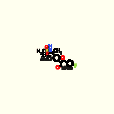 CNC(=O)c1c(-c2ccc(F)cc2)oc2cc(C(C)(C)NS(C)(=O)=O)c(OC)cc12